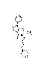 Cc1nc2c(cnn2-c2ccccc2)c(=O)n1OCCCN1CCOCC1